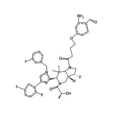 C[C@H](O)C(=O)N1C[C@@H]2C(N(C(=O)CCCOc3ccc(C=O)c(N)c3)C[C@@H]2F)C(C)(C)[C@@H]1c1nc(-c2cc(F)ccc2F)cn1Cc1cccc(F)c1